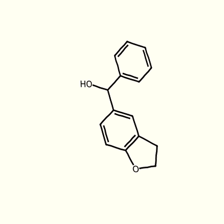 OC(c1ccccc1)c1ccc2c(c1)CCO2